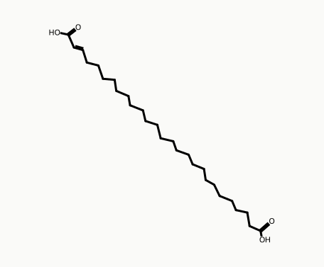 O=C(O)C=CCCCCCCCCCCCCCCCCCCCCCCCC(=O)O